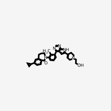 Cc1c(-c2ncnc3[nH]c(C4=CCN(CCO)CC4)cc23)cccc1N1CCCc2cc(C3CC3)ccc2C1=O